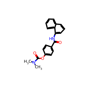 CN(C)C(=O)Oc1ccc(C(=O)Nc2cccc3ccccc23)cc1